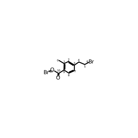 Cc1cc(CCBr)ccc1C(=O)OBr